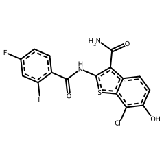 NC(=O)c1c(NC(=O)c2ccc(F)cc2F)sc2c(Cl)c(O)ccc12